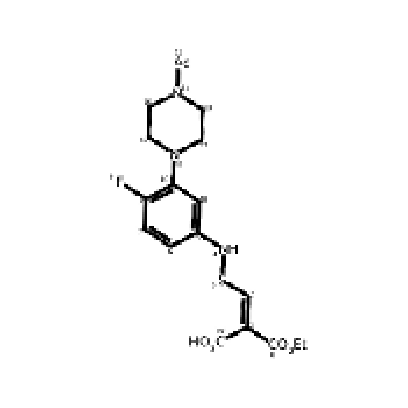 CCOC(=O)C(=CSNc1ccc(F)c(N2CCN(C(C)=O)CC2)c1)C(=O)O